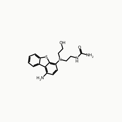 NC(=O)NCCN(CCO)c1ccc(N)c2c1sc1ccccc12